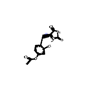 CC(=O)Oc1ccc(/C=C2\SC(=O)NC2=O)c(Cl)c1